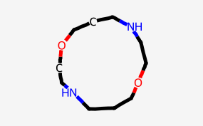 C1CNCCOCCCNCCOC1